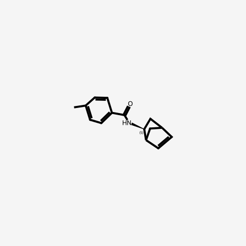 Cc1ccc(C(=O)N[C@H]2CC3C=CC2C3)cc1